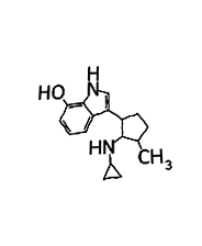 CC1CCC(c2c[nH]c3c(O)cccc23)C1NC1CC1